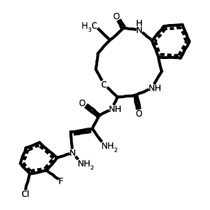 CC1CCCC(NC(=O)/C(N)=C/N(N)c2cccc(Cl)c2F)C(=O)NCc2ccccc2NC1=O